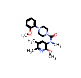 COc1ccccc1N1CCN(C(=O)N(C)c2cc(C)c(C)nc2OC)CC1